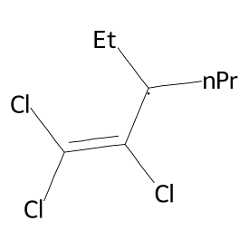 CCC[C](CC)C(Cl)=C(Cl)Cl